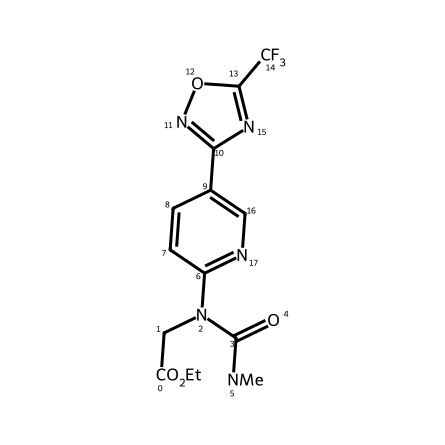 CCOC(=O)CN(C(=O)NC)c1ccc(-c2noc(C(F)(F)F)n2)cn1